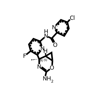 C[C@@]1(c2nc(NC(=O)c3ccc(Cl)cn3)ccc2F)N=C(N)OC2C[C@H]21